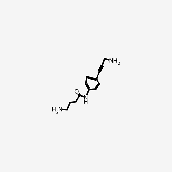 NCC#Cc1ccc(NC(=O)CCCN)cc1